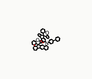 c1ccc(-c2ccc(N(c3ccc4c(c3)C3(c5ccccc5Oc5ccccc53)c3ccccc3-4)c3cccc4cc5c(cc34)C3(c4ccccc4Oc4ccccc43)c3ccccc3-5)cc2)cc1